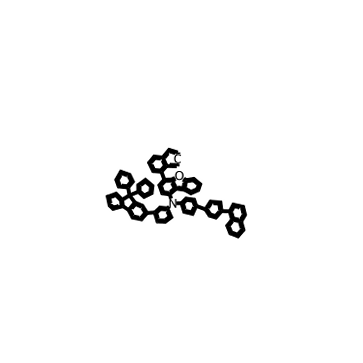 c1ccc(C2(c3ccccc3)c3ccccc3-c3ccc(-c4cccc(N(c5ccc(-c6ccc(-c7cccc8ccccc78)cc6)cc5)c5ccc(-c6cccc7ccccc67)c6oc7ccccc7c56)c4)cc32)cc1